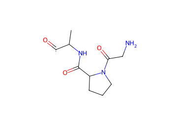 CC([C]=O)NC(=O)C1CCCN1C(=O)CN